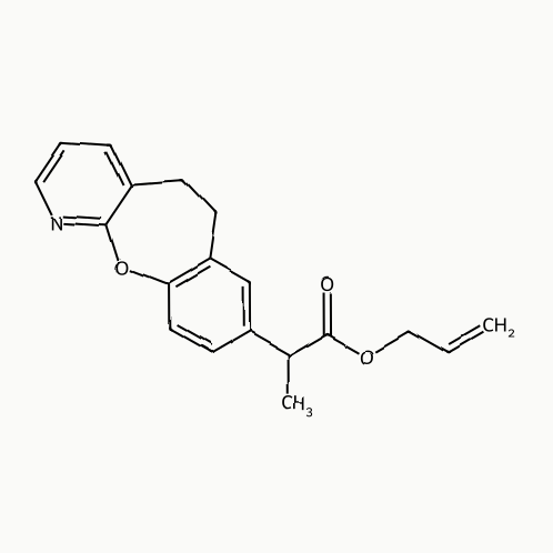 C=CCOC(=O)C(C)c1ccc2c(c1)CCc1cccnc1O2